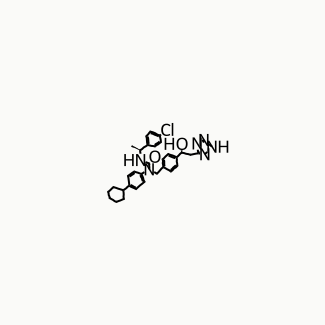 C[C@H](NC(=O)N(Cc1ccc([C@@H](O)Cc2nn[nH]n2)cc1)c1ccc(C2CCCCC2)cc1)c1ccc(Cl)cc1